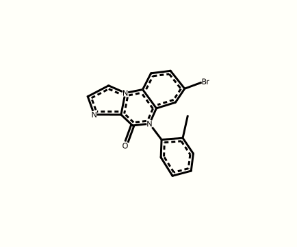 Cc1ccccc1-n1c(=O)c2nccn2c2ccc(Br)cc21